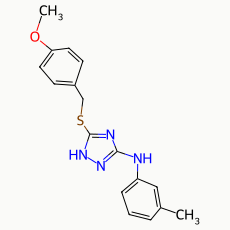 COc1ccc(CSc2nc(Nc3cccc(C)c3)n[nH]2)cc1